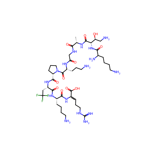 C[C@H](NC(=O)[C@@H](NC(=O)C(N)CCCCN)[C@@H](O)CN)C(=O)NCC(=O)N[C@H](CCCN)C(=O)N1CCC[C@H]1C(=O)N[C@@H](CC(F)(F)F)C(=O)N[C@@H](CCCCN)C(=O)N/C(=C\CCNC(=N)N)C(=O)O